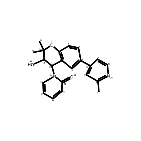 Cc1cc(-c2ccc3c(c2)C(n2ccccc2=O)C(O)C(C)(C)O3)ccn1